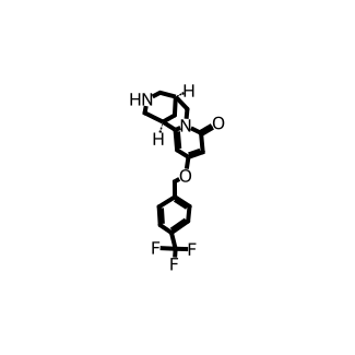 O=c1cc(OCc2ccc(C(F)(F)F)cc2)cc2n1C[C@@H]1CNC[C@H]2C1